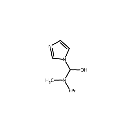 CCCN(C)C(O)n1ccnc1